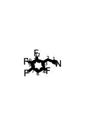 N#CCc1c(F)cc(F)c(F)c1F